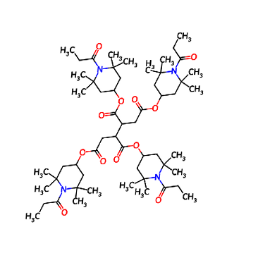 CCC(=O)N1C(C)(C)CC(OC(=O)CC(C(=O)OC2CC(C)(C)N(C(=O)CC)C(C)(C)C2)C(CC(=O)OC2CC(C)(C)N(C(=O)CC)C(C)(C)C2)C(=O)OC2CC(C)(C)N(C(=O)CC)C(C)(C)C2)CC1(C)C